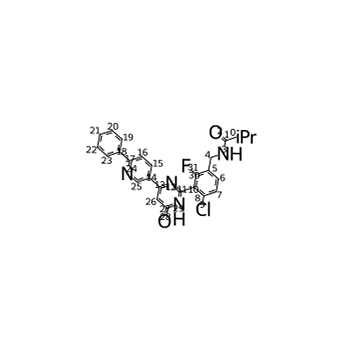 CC(C)C(=O)NCc1ccc(Cl)c(-c2nc(-c3ccc(-c4ccccc4)nc3)cc(=O)[nH]2)c1F